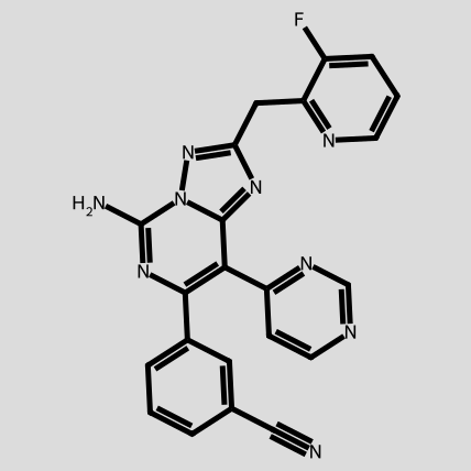 N#Cc1cccc(-c2nc(N)n3nc(Cc4ncccc4F)nc3c2-c2ccncn2)c1